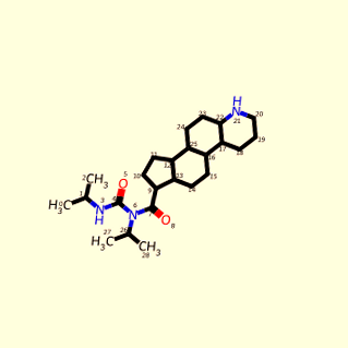 CC(C)NC(=O)N(C(=O)C1CCC2C1CCC1C3CCCNC3CCC12)C(C)C